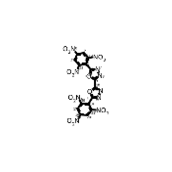 O=[N+]([O-])c1cc([N+](=O)[O-])c(-c2nnc(-c3nnc(-c4c([N+](=O)[O-])cc([N+](=O)[O-])cc4[N+](=O)[O-])o3)o2)c([N+](=O)[O-])c1